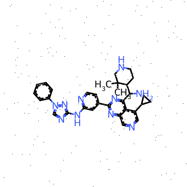 CC1(C)CNCCC1C(N)c1nc(-c2ccnc(Nc3ncn(-c4ccccc4)n3)c2)nc2cncc(C3CC3)c12